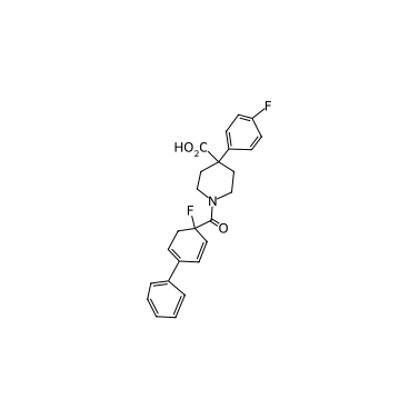 O=C(N1CCC(C(=O)O)(c2ccc(F)cc2)CC1)C1(F)C=CC(c2ccccc2)=CC1